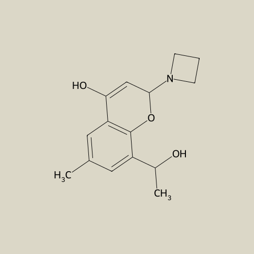 Cc1cc2c(c(C(C)O)c1)OC(N1CCC1)C=C2O